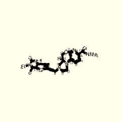 CCn1c(=O)[nH]c2cc(CN3CCN4c5ccc(C(=O)NC)nc5OC[C@H]4C3)sc2c1=O